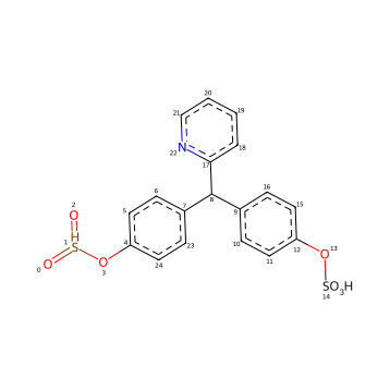 O=[SH](=O)Oc1ccc(C(c2ccc(OS(=O)(=O)O)cc2)c2ccccn2)cc1